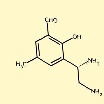 Cc1cc(C=O)c(O)c([C@H](N)CN)c1